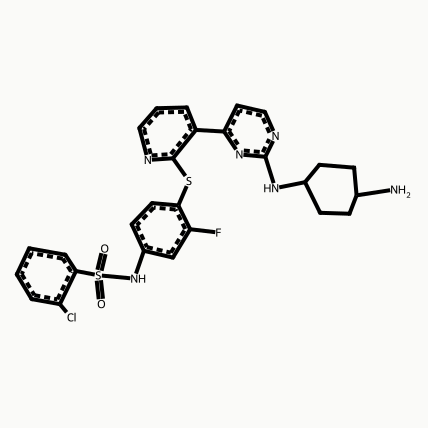 NC1CCC(Nc2nccc(-c3cccnc3Sc3ccc(NS(=O)(=O)c4ccccc4Cl)cc3F)n2)CC1